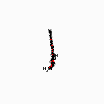 Cc1c(C(=O)N2CCOc3ccc(-c4ccc(N)nc4)cc3C2)ccc(S(=O)(=O)CCNC(=O)CCOCCOCCOCCOCCOCCOCCOCCOCCN=[N+]=[N-])c1F